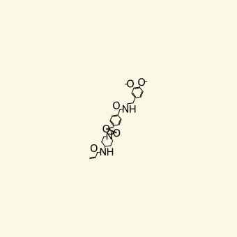 C=CC(=O)NC1CCN(S(=O)(=O)c2ccc(C(=O)NCCc3ccc(OC)c(OC)c3)cc2)CC1